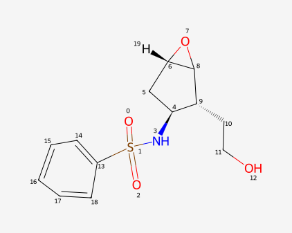 O=S(=O)(N[C@H]1C[C@@H]2OC2[C@@H]1CCO)c1ccccc1